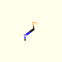 C/N=C/P